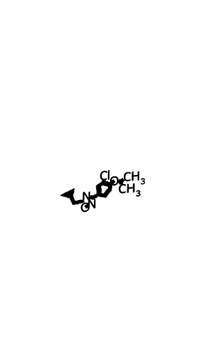 CC(C)Oc1ccc(-c2noc(CC3CC3)n2)cc1Cl